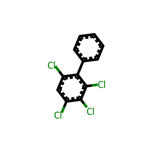 Clc1cc(Cl)c(-c2ccccc2)c(Cl)c1Cl